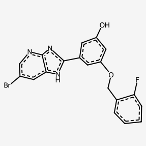 Oc1cc(OCc2ccccc2F)cc(-c2nc3ncc(Br)cc3[nH]2)c1